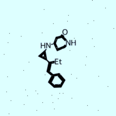 CC/C(=C\c1ccccc1)[C@H]1C[C@@H]1N[C@H]1CCNC(=O)C1